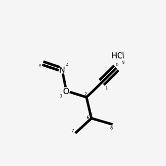 C#CC(ON=C)C(C)C.Cl